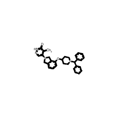 Cc1c(N2Cc3cccc(OC4CCN(C(c5ccccc5)c5ccccc5)CC4)c3C2)cn[nH]c1=O